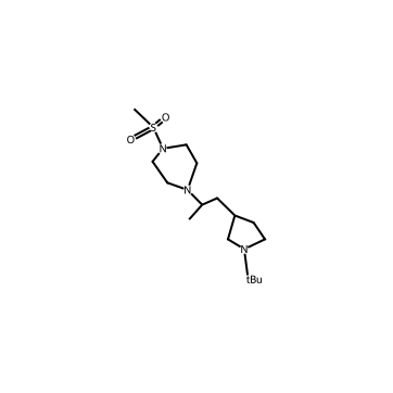 CC(CC1CCN(C(C)(C)C)C1)N1CCN(S(C)(=O)=O)CC1